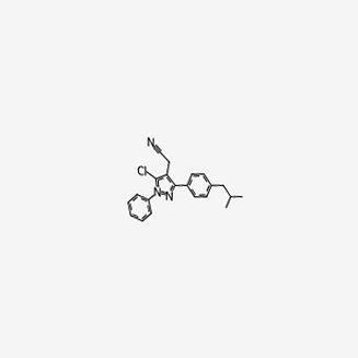 CC(C)Cc1ccc(-c2nn(-c3ccccc3)c(Cl)c2CC#N)cc1